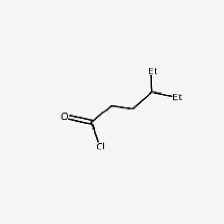 CCC(CC)CCC(=O)Cl